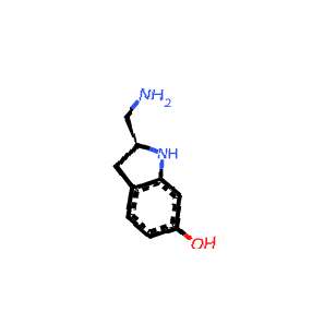 NC[C@@H]1Cc2ccc(O)cc2N1